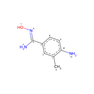 Cc1cc(/C(N)=N/O)ccc1N